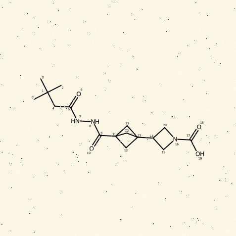 CC(C)(C)CC(=O)NNC(=O)C12CC(C3CN(C(=O)O)C3)(C1)C2